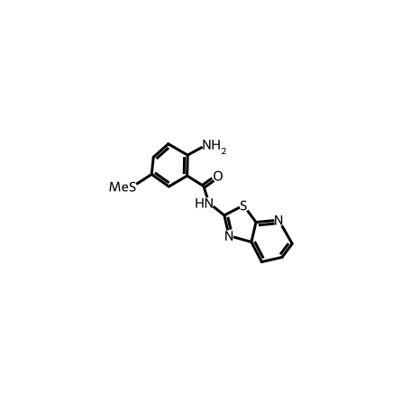 CSc1ccc(N)c(C(=O)Nc2nc3cccnc3s2)c1